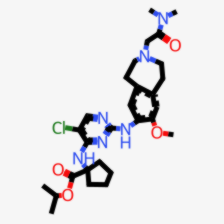 COc1cc2c(cc1Nc1ncc(Cl)c(NC3(C(=O)OC(C)C)CCCC3)n1)CCN(CC(=O)N(C)C)CC2